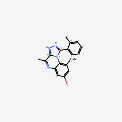 COc1cc(Br)cc2nc(C)c3nnc(-c4ccccc4C)n3c12